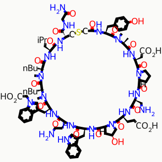 CCCC[C@H]1C(=O)N(C)[C@@H](CCCC)C(=O)N[C@@H](CC(C)C)C(=O)N[C@H](C(=O)NCC(N)=O)CSCC(=O)N[C@@H](Cc2ccc(O)cc2)C(=O)N(C)[C@@H](C)C(=O)N[C@@H](CC(=O)O)C(=O)N2CCC[C@H]2C(=O)N[C@@H](CN)C(=O)N[C@@H](CCC(=O)O)C(=O)N2C[C@H](O)C[C@H]2C(=O)N[C@@H](Cc2c[nH]c3ccccc23)C(=O)N[C@@H](CCN)C(=O)N[C@@H](Cc2cn(CC(=O)O)c3ccccc23)C(=O)N1C